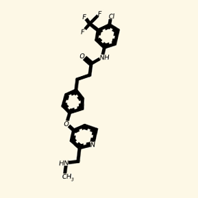 CNCc1cc(Oc2ccc(CCC(=O)Nc3ccc(Cl)c(C(F)(F)F)c3)cc2)ccn1